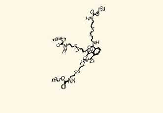 CC(C)(C)OC(=O)NCCSSCCNC(=O)c1cccc(C(=O)NCCSSCCNC(=O)OC(C)(C)C)c1C(=O)NCCSSCCNC(=O)OC(C)(C)C